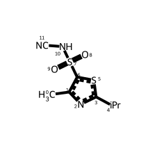 Cc1nc(C(C)C)sc1S(=O)(=O)NC#N